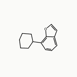 c1cc([C]2CCCCC2)c2occc2c1